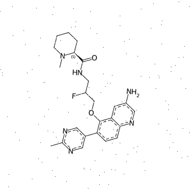 Cc1ncc(-c2ccc3ncc(N)cc3c2OCC(F)CNC(=O)[C@@H]2CCCCN2C)cn1